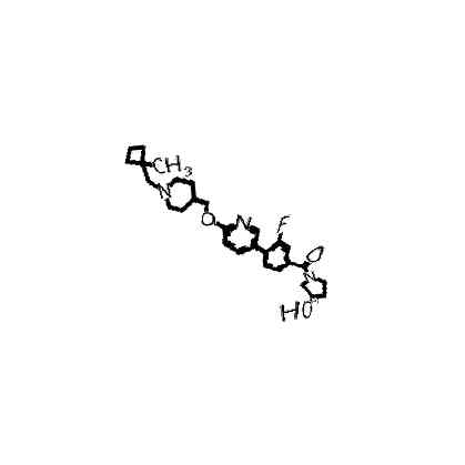 CC1(CN2CCC(COc3ccc(-c4ccc(C(=O)N5CC[C@H](O)C5)cc4F)cn3)CC2)CCC1